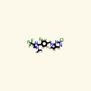 CC(C)n1cc(C(F)(F)F)nc1-c1ccc(Cn2ccc3cnc(Cl)nc32)cc1F